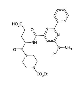 CCOC(=O)N1CCN(C(=O)C(CCC(=O)O)NC(=O)c2cc(N(C)C(C)C)nc(-c3ccccc3)n2)CC1